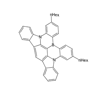 CCCCCCc1ccc2c(c1)-n1c3ccccc3c3cc4c5ccccc5n5c4c(c31)B2c1ccc(CCCCCC)cc1-5